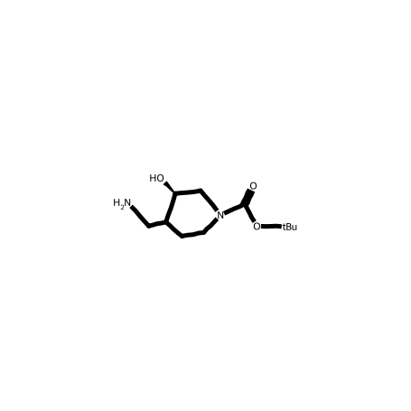 CC(C)(C)OC(=O)N1CCC(CN)[C@@H](O)C1